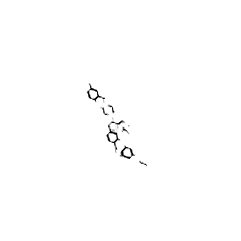 COc1ccc(C)cc1C(=O)N1CCN(C(Cc2ccc(C#N)c(Oc3cccc(OCCO)c3)c2)c2cnc(C)[nH]2)CC1